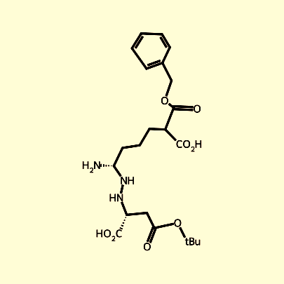 CC(C)(C)OC(=O)C[C@@H](NN[C@H](N)CCCC(C(=O)O)C(=O)OCc1ccccc1)C(=O)O